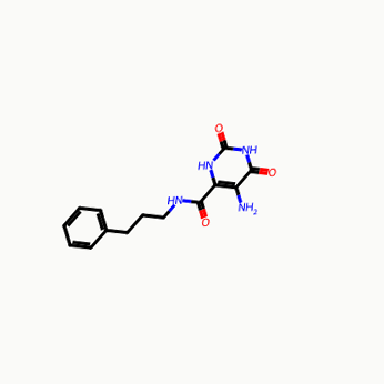 Nc1c(C(=O)NCCCc2ccccc2)[nH]c(=O)[nH]c1=O